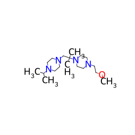 COCCN1CCN(C(C)(C)CN2CCN(C(C)C)CC2)CC1